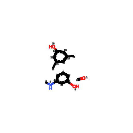 C=O.CNc1cccc(O)c1.Cc1cc(C)cc(O)c1